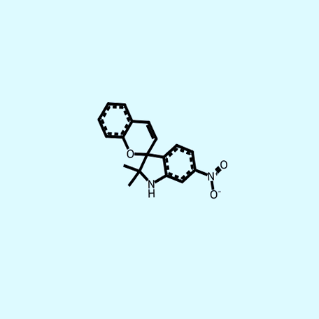 CC1(C)Nc2cc([N+](=O)[O-])ccc2C12C=Cc1ccccc1O2